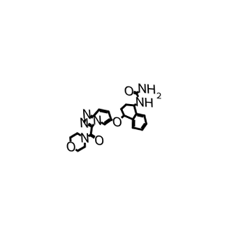 NC(=O)NC1CCC(Oc2ccc3nnc(C(=O)N4CCOCC4)n3c2)c2ccccc21